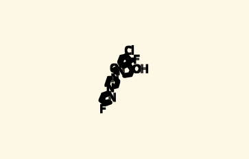 O=C(N1CCN(c2ccc(F)cn2)CC1)N1CCC(O)c2c1ccc(Cl)c2F